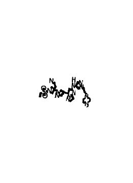 CCS(=O)(=O)N1CC(CC#N)(n2cc(-c3cc(Nc4cnn(CCCN5CCN(C)CC5)c4)nc4ccnn34)cn2)C1